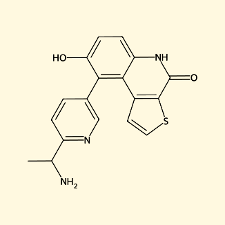 CC(N)c1ccc(-c2c(O)ccc3[nH]c(=O)c4sccc4c23)cn1